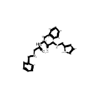 O=C(COCc1ccccc1)N[C@@H](Cc1ccccc1)C(=O)CSCc1ccco1